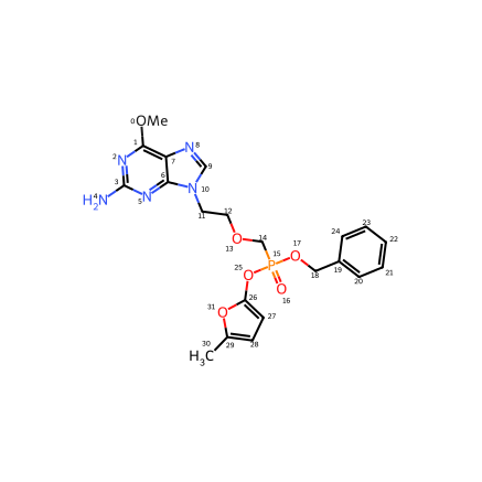 COc1nc(N)nc2c1ncn2CCOCP(=O)(OCc1ccccc1)Oc1ccc(C)o1